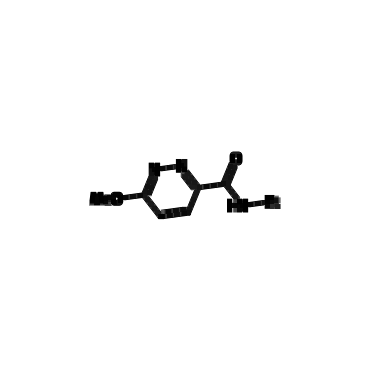 CCNC(=O)c1ccc(OC)nn1